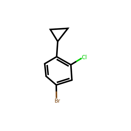 Clc1cc(Br)ccc1C1CC1